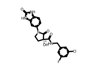 O=C(NCc1cc(F)cc(Cl)c1)[C@@]1(O)CCN(c2ccc3[nH]c(=O)[nH]c3c2)C1=O